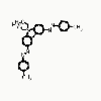 CC[Si]1(CC)c2ccc(/N=N/c3ccc(C)cc3)cc2-c2cc(/N=N/c3ccc(C)cc3)ccc21